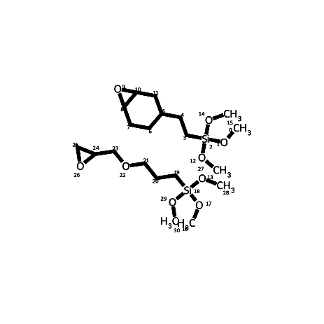 CO[Si](CCC1CCC2OC2C1)(OC)OC.CO[Si](CCCOCC1CO1)(OC)OC